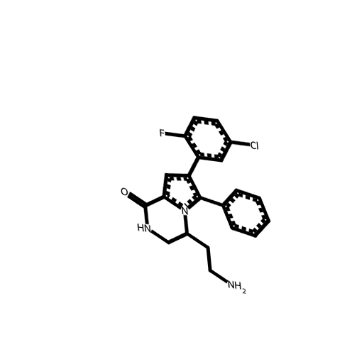 NCCC1CNC(=O)c2cc(-c3cc(Cl)ccc3F)c(-c3ccccc3)n21